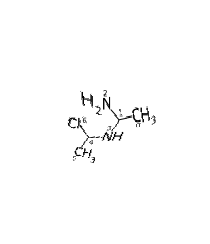 CC(N)NC(C)Cl